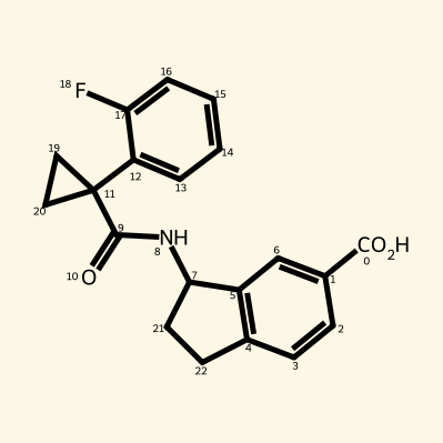 O=C(O)c1ccc2c(c1)C(NC(=O)C1(c3ccccc3F)CC1)CC2